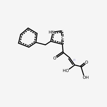 O=C(O)/C(O)=C/C(=O)c1cc[nH]c1Cc1ccccc1